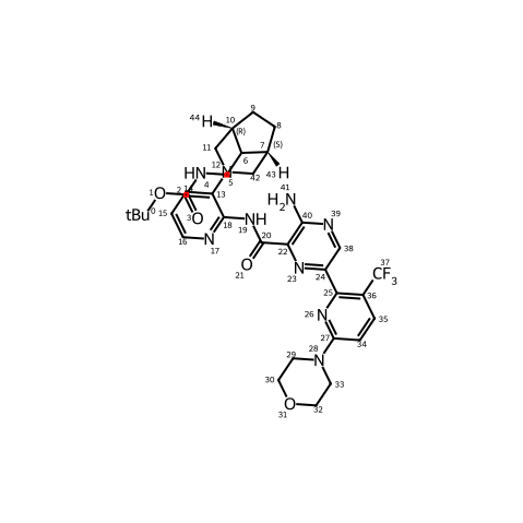 CC(C)(C)OC(=O)NCC1[C@@H]2CC[C@H]1CN(c1cccnc1NC(=O)c1nc(-c3nc(N4CCOCC4)ccc3C(F)(F)F)cnc1N)C2